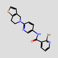 O=C(Nc1ccc(N2CCc3sccc3C2)nc1)c1cccnc1S